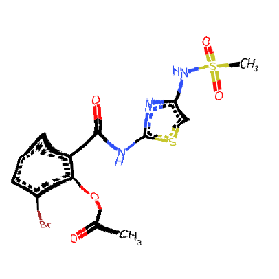 CC(=O)Oc1c(Br)cccc1C(=O)Nc1nc(NS(C)(=O)=O)cs1